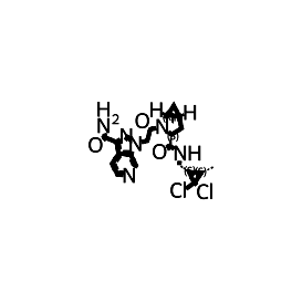 C[C@H]1[C@@H](CNC(=O)[C@@H]2C[C@H]3C[C@H]3N2C(=O)Cn2nc(C(N)=O)c3ccncc32)C1(Cl)Cl